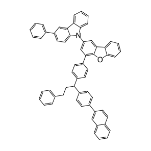 c1ccc(CCC(c2ccc(-c3ccc4ccccc4c3)cc2)c2ccc(-c3cc(-n4c5ccccc5c5cc(-c6ccccc6)ccc54)cc4c3oc3ccccc34)cc2)cc1